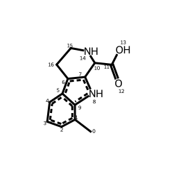 Cc1cccc2c3c([nH]c12)C(C(=O)O)NCC3